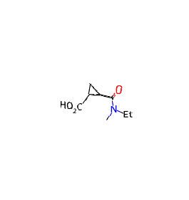 CCN(C)C(=O)C1CC1C(=O)O